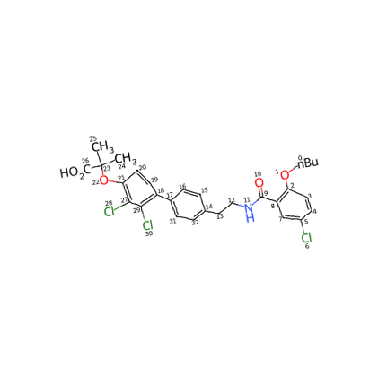 CCCCOc1ccc(Cl)cc1C(=O)NCCc1ccc(-c2ccc(OC(C)(C)C(=O)O)c(Cl)c2Cl)cc1